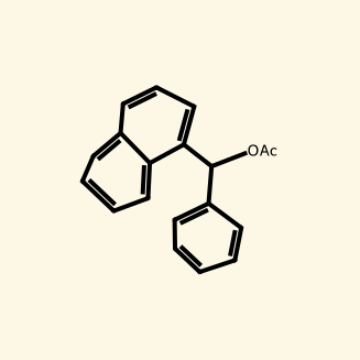 CC(=O)OC(c1ccccc1)c1cccc2ccccc12